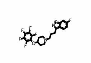 Fc1ccc2c(CCCN3CCC(Oc4c(F)c(F)c(F)c(F)c4F)CC3)noc2c1